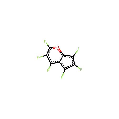 Fc1oc2c(F)c(F)c(F)c-2c(F)c1F